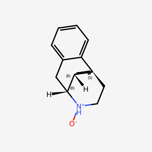 [O-][NH+]1CC[C@]23C=CCC[C@H]2[C@H]1Cc1ccccc13